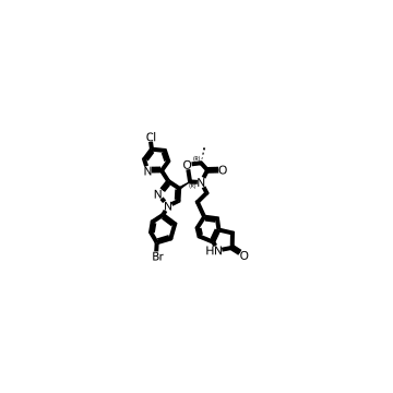 C[C@H]1O[C@H](c2cn(-c3ccc(Br)cc3)nc2-c2ccc(Cl)cn2)N(CCc2ccc3c(c2)CC(=O)N3)C1=O